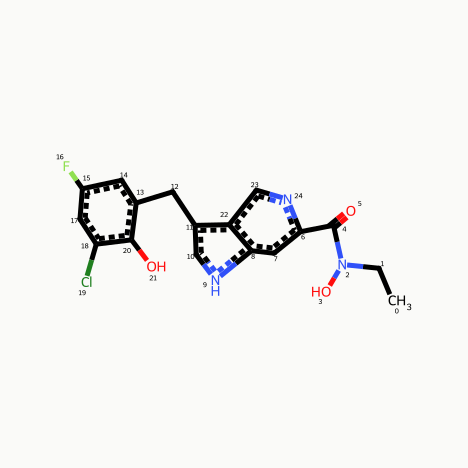 CCN(O)C(=O)c1cc2[nH]cc(Cc3cc(F)cc(Cl)c3O)c2cn1